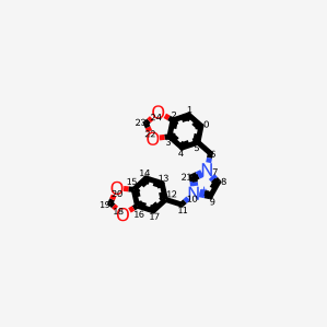 c1cc2c(cc1Cn1cc[n+](Cc3ccc4c(c3)OCO4)c1)OCO2